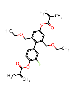 C=C(C)C(=O)Oc1cc(COCC)c(-c2ccc(OC(=O)C(=C)C)c(F)c2)c(COCC)c1